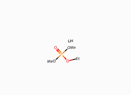 CCOP(=O)(OC)OC.[LiH]